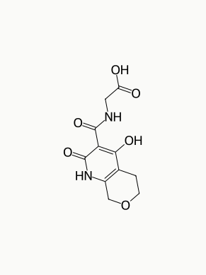 O=C(O)CNC(=O)c1c(O)c2c([nH]c1=O)COCC2